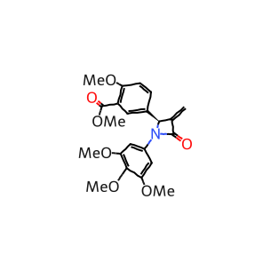 C=C1C(=O)N(c2cc(OC)c(OC)c(OC)c2)[C@H]1c1ccc(OC)c(C(=O)OC)c1